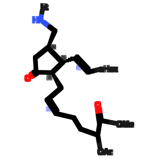 CCCCCC/C=C/[C@H]1[C@H](CNCC)CC(=O)[C@@H]1C/C=C\CCC(OC(C)=O)C(=O)OC